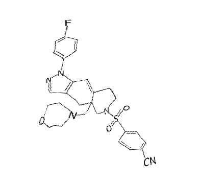 N#Cc1ccc(S(=O)(=O)N2CCC3=Cc4c(cnn4-c4ccc(F)cc4)CC3(CN3CCOCC3)C2)cc1